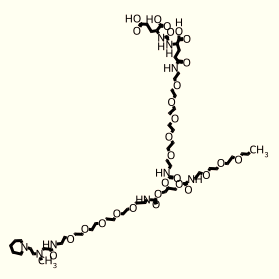 CCCOCCOCCOCCNC(=O)OCC(COC(=O)NCCOCCOCCOCCOCCOCCNC(=O)CN(C)CCN1CCCCC1)OC(=O)NCCOCCOCCOCCOCCOCCNC(=O)CCC(NC(=O)NC(CCC(=O)O)C(=O)O)C(=O)O